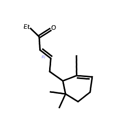 CCC(=O)/C=C/CC1C(C)=CCCC1(C)C